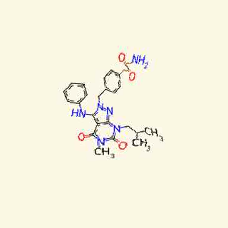 CC(C)Cn1c(=O)n(C)c(=O)c2c(Nc3ccccc3)n(Cc3ccc(S(N)(=O)=O)cc3)nc21